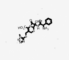 COC1(NC(=O)C(N)c2ccccc2)C(=O)N2C(C(=O)O)=C(CSc3nnnn3C)CSC21